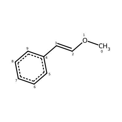 COC=Cc1ccccc1